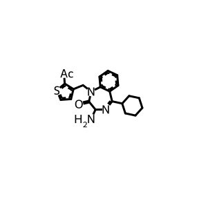 CC(=O)c1sccc1CN1C(=O)C(N)N=C(C2CCCCC2)c2ccccc21